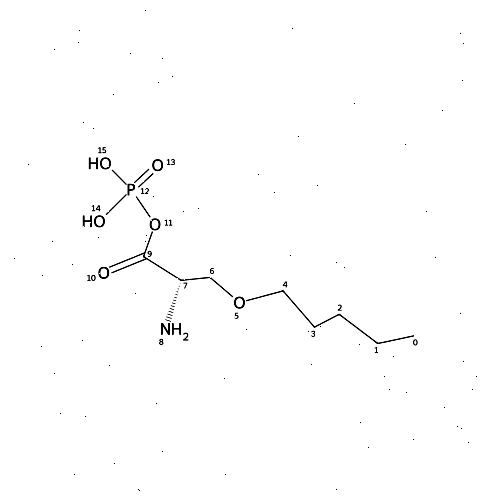 CCCCCOC[C@H](N)C(=O)OP(=O)(O)O